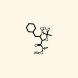 CON(C)C(=O)C1OC(C)(C)N(C(=O)O)C1CC1CCCCC1